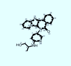 CC(CO)Nc1ccc(-n2c(=O)c3ccccc3c3nc4ccccn4c32)cn1